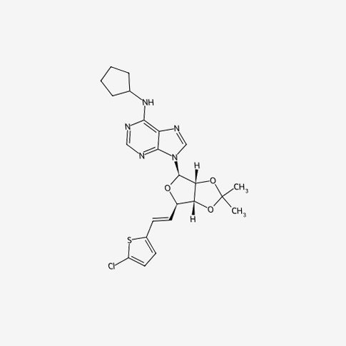 CC1(C)O[C@@H]2[C@H](O1)[C@@H](C=Cc1ccc(Cl)s1)O[C@H]2n1cnc2c(NC3CCCC3)ncnc21